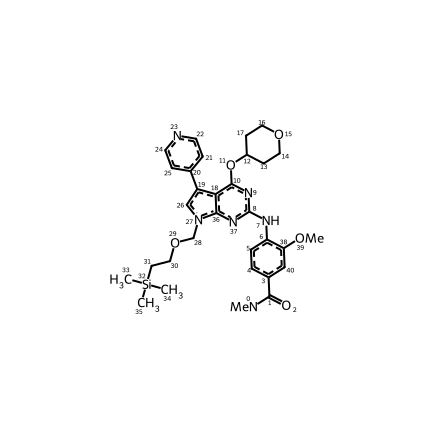 CNC(=O)c1ccc(Nc2nc(OC3CCOCC3)c3c(-c4ccncc4)cn(COCC[Si](C)(C)C)c3n2)c(OC)c1